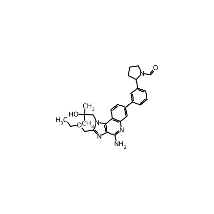 CCOCc1nc2c(N)nc3cc(-c4cccc(C5CCCN5C=O)c4)ccc3c2n1CC(C)(C)O